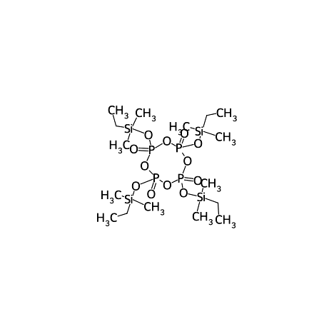 CC[Si](C)(C)OP1(=O)OP(=O)(O[Si](C)(C)CC)OP(=O)(O[Si](C)(C)CC)OP(=O)(O[Si](C)(C)CC)O1